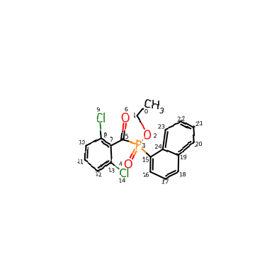 CCOP(=O)(C(=O)c1c(Cl)cccc1Cl)c1cccc2ccccc12